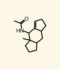 CC(=O)NC1C2=CCCC2CC2CCCC21C